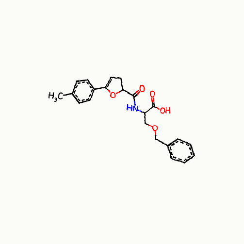 Cc1ccc(C2=CCC(C(=O)NC(COCc3ccccc3)C(=O)O)O2)cc1